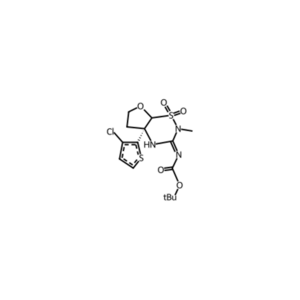 CN1/C(=N/C(=O)OC(C)(C)C)N[C@@]2(c3sccc3Cl)CCOC2S1(=O)=O